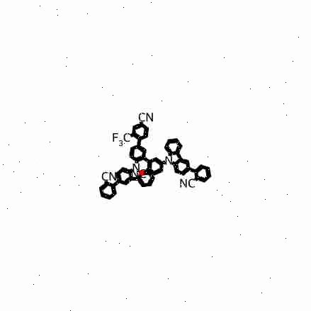 N#Cc1ccc(-c2ccc(-n3c4ccccc4c4cc(-c5ccccc5C#N)ccc43)c(-c3cc(-n4c5ccccc5c5cc(-c6ccccc6C#N)ccc54)ccc3C#N)c2)c(C(F)(F)F)c1